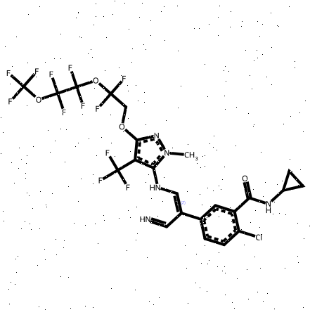 Cn1nc(OCC(F)(F)OC(F)(F)C(F)(F)OC(F)(F)F)c(C(F)(F)F)c1N/C=C(\C=N)c1ccc(Cl)c(C(=O)NC2CC2)c1